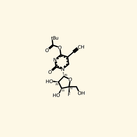 C#Cc1cn([C@@H]2O[C@](F)(CO)[C@@H](O)[C@H]2O)c(=O)nc1OC(=O)C(C)(C)C